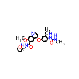 CNC(=O)Nc1ccc(Oc2ccnc3cc(OC)c(C(=O)NC[C@@H]4CCCO4)cc23)cc1C